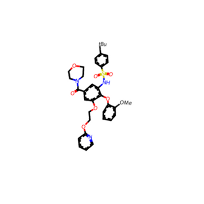 COc1ccccc1Oc1c(NS(=O)(=O)c2ccc(C(C)(C)C)cc2)cc(C(=O)N2CCOCC2)cc1OCCOc1ccccn1